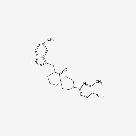 Cc1ccc2[nH]cc(CN3CCCC4(CCN(c5ncc(C)c(C)n5)CC4)C3=O)c2c1